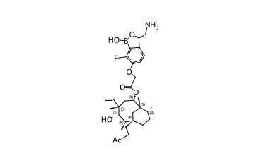 C=C[C@]1(C)C[C@@H](OC(=O)COc2ccc3c(c2F)B(O)OC3CN)[C@@]2(C)C[C@](CCC(C)=O)(CC[C@H]2C)[C@@H](C)[C@@H]1O